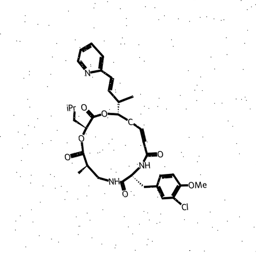 COc1ccc(C[C@H]2NC(=O)/C=C/C[C@@H](C(C)/C=C/c3ccccn3)OC(=O)[C@H](CC(C)C)OC(=O)[C@H](C)CNC2=O)cc1Cl